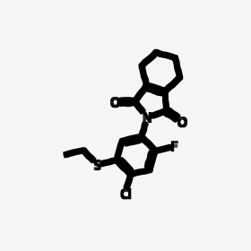 CCSc1cc(N2C(=O)C3=C(CCCC3)C2=O)c(F)cc1Cl